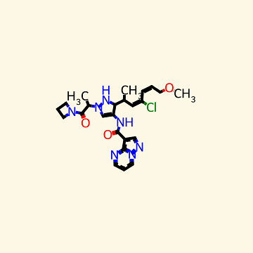 COC/C=C\C(Cl)=C/C(C)C1NN(C(C)C(=O)N2CCC2)C=C1NC(=O)c1cnn2cccnc12